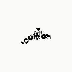 CCN1CCN(c2ccc(Nc3ncnc(Oc4ccc5[nH]c(C)cc5c4F)c3C(=O)NC3CC3)nc2)CC1